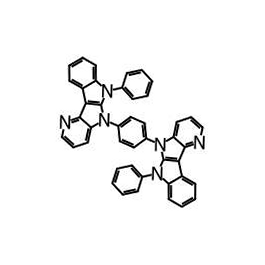 c1ccc(-n2c3ccccc3c3c4ncccc4n(-c4ccc(-n5c6cccnc6c6c7ccccc7n(-c7ccccc7)c65)cc4)c32)cc1